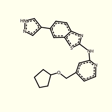 c1cc(COC2CCCC2)cc(Nc2nc3ccc(-c4cn[nH]c4)cc3s2)n1